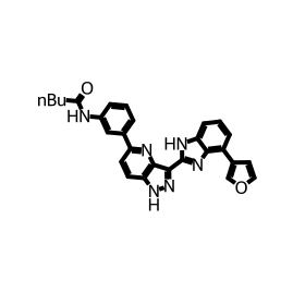 CCCCC(=O)Nc1cccc(-c2ccc3[nH]nc(-c4nc5c(-c6ccoc6)cccc5[nH]4)c3n2)c1